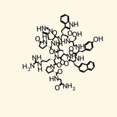 CC(C)C[C@H](NC(=O)[C@H](Cc1ccc2ccccc2c1)NC(=O)[C@H](Cc1ccc(O)cc1)NC(=O)[C@H](CO)NC(=O)[C@H](Cc1c[nH]c2ccccc12)NC(=O)[C@H](Cc1c[nH]cn1)NC(=O)[C@@H]1CCC(=O)N1)C(=O)N[C@@H](CCCNC(=N)N)C(=O)N1CCC[C@H]1C(=O)NCC(N)=O